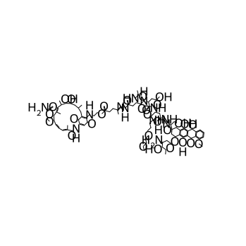 COCCOCCCNC(=O)C(CC(=O)N/N=C(\CO)[C@]1(O)Cc2c(O)c3c(c(O)c2[C@@H](O[C@H]2C[C@@H](N)[C@H](O)C(C)O2)C1)C(=O)c1c(OC)cccc1C3=O)NC(=O)C(CC(=O)O)NC(=O)C(CC(=O)N/N=C(\C)CCC(=O)OCCNC1=C2CC(C)CC(OC)C(O)C(C)/C=C(\C)C(OC(N)=O)C(OC)/C=C\C=C(/C)C(=O)NC(=CC1=O)C2=O)NC(C)=O